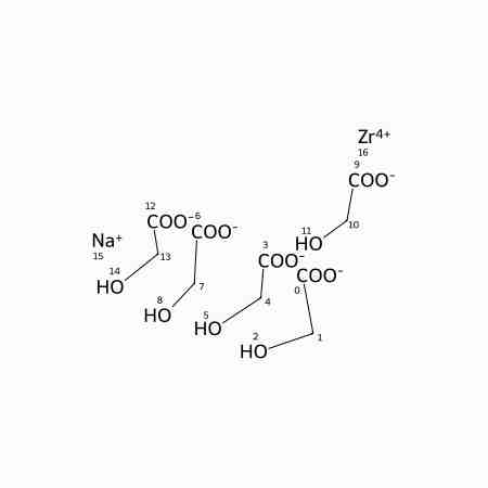 O=C([O-])CO.O=C([O-])CO.O=C([O-])CO.O=C([O-])CO.O=C([O-])CO.[Na+].[Zr+4]